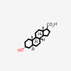 C[C@]12CC[C@@H](O)C[C@@H]1CC[C@@H]1[C@@H]2CC[C@]2(C)[C@@H](C(=O)O)CC[C@@H]12